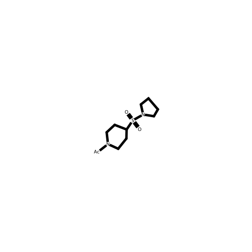 CC(=O)N1CCC(S(=O)(=O)N2CCCC2)CC1